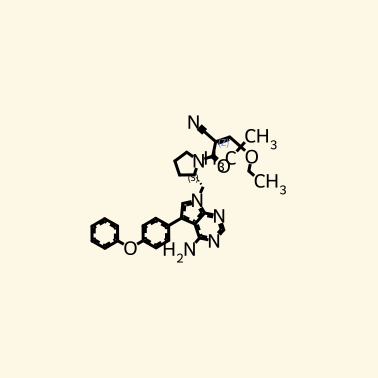 CCOC(C)(C)/C=C(/C#N)C(=O)N1CCC[C@H]1Cn1cc(-c2ccc(Oc3ccccc3)cc2)c2c(N)ncnc21